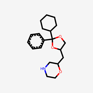 c1ccc(C2(C3CCCCC3)OCC(CC3CNCCO3)O2)cc1